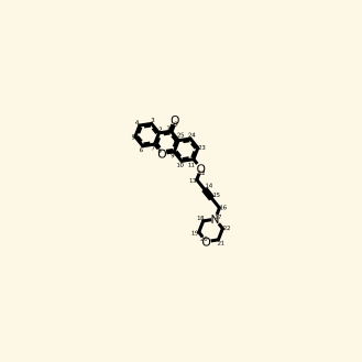 O=c1c2ccccc2oc2cc(OCC#CCN3CCOCC3)ccc12